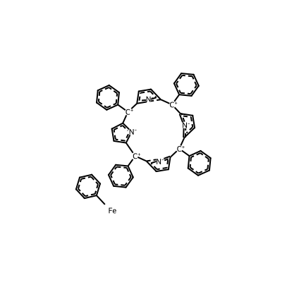 Cc1ccccc1.[Fe].c1ccc([C+]2c3ccc([n-]3)[C+](c3ccccc3)c3ccc([n-]3)[C+](c3ccccc3)c3ccc([n-]3)[C+](c3ccccc3)c3ccc2[n-]3)cc1